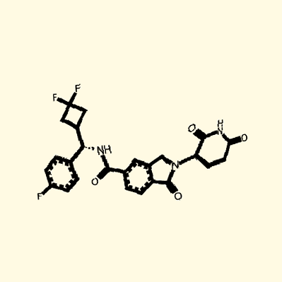 O=C1CCC(N2Cc3cc(C(=O)N[C@H](c4ccc(F)cc4)C4CC(F)(F)C4)ccc3C2=O)C(=O)N1